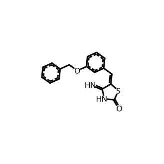 N=C1NC(=O)SC1=Cc1cccc(OCc2ccccc2)c1